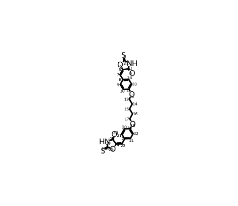 O=C1NC(=S)OC1=Cc1ccc(OCCCCCOc2ccc(C=C3OC(=S)NC3=O)cc2)cc1